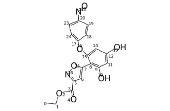 CCOC(=O)c1cc(-c2c(O)cc(O)cc2Oc2ccc(N=O)cc2)on1